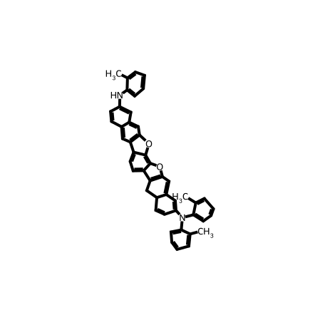 Cc1ccccc1Nc1ccc2cc3c(cc2c1)oc1c3ccc2c3c(oc21)C=C1C=C(N(c2ccccc2C)c2ccccc2C)C=CC1C3